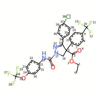 CCOC(=O)C1(c2ccc(C(F)(F)F)cc2)CN(C(=O)Nc2ccc(OC(F)(F)F)cc2)N=C1c1ccc(Cl)cc1